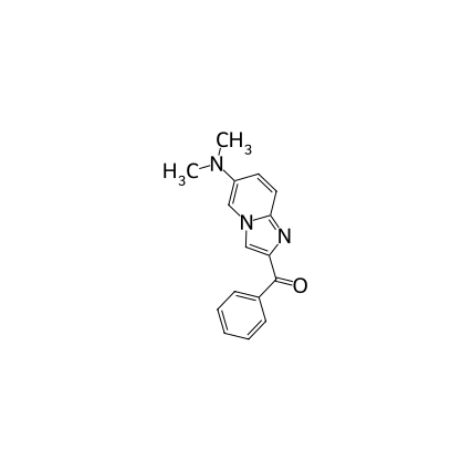 CN(C)c1ccc2nc(C(=O)c3ccccc3)cn2c1